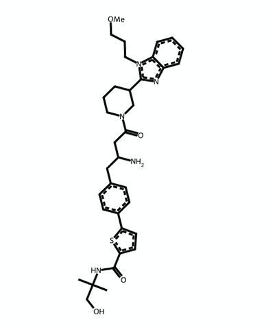 COCCCn1c(C2CCCN(C(=O)CC(N)Cc3ccc(-c4ccc(C(=O)NC(C)(C)CO)s4)cc3)C2)nc2ccccc21